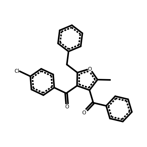 Cc1oc(Cc2ccccc2)c(C(=O)c2ccc(Cl)cc2)c1C(=O)c1ccccc1